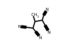 CC(C(C#N)C#N)C(C#N)C#N